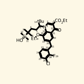 CCOC(=O)c1cn(C(CCC(C)(C)[Si](C)(C)O)C(C)(C)C)c2c(OCC)cc(Cc3cccc(Cl)c3F)cc2c1=O